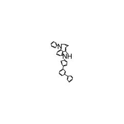 C/C1=C\C=C/CN(c2ccccc2)c2cccc(Nc3ccc(-c4cccc(-c5ccccc5)c4)cc3)c21